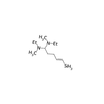 CCN(C)C(CCC=C[SiH3])N(C)CC